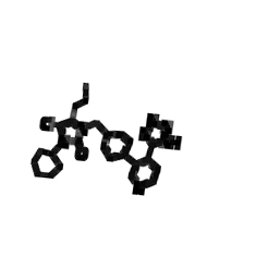 CCCc1c(Cl)n(C2CCCCC2)c(=O)n1Cc1ccc(-c2cnccc2-c2nnn[nH]2)cc1